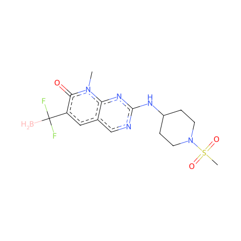 BC(F)(F)c1cc2cnc(NC3CCN(S(C)(=O)=O)CC3)nc2n(C)c1=O